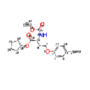 C#Cc1ccc(OCCC(NC(=O)OC(C)(C)C)C(=O)OC2CCCC2)cc1